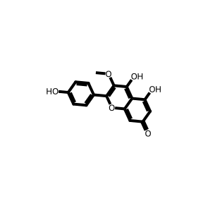 COc1c(-c2ccc(O)cc2)oc2cc(=O)cc(O)c-2c1O